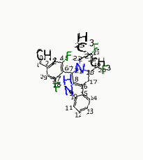 C=Cc1cc(F)c(C2c3[nH]c4ccccc4c3CC(CF)N2CC(C)(C)F)c(F)c1